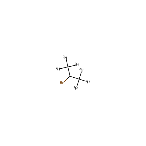 [2H]C([2H])([2H])C(Br)C([2H])([2H])[2H]